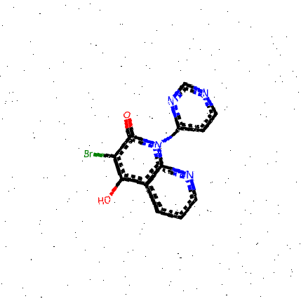 O=c1c(Br)c(O)c2cccnc2n1-c1ccncn1